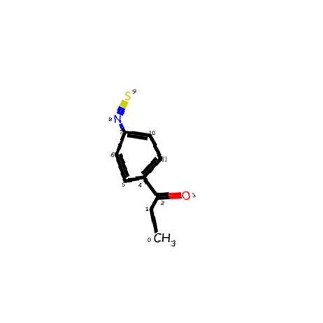 CCC(=O)c1ccc(N=S)cc1